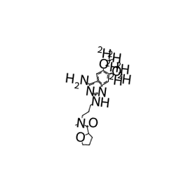 [2H]C([2H])([2H])Oc1cc2nc(NCCCN(C)C(=O)C3CCCO3)nc(N)c2cc1OC([2H])([2H])[2H]